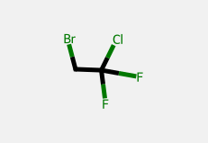 FC(F)(Cl)CBr